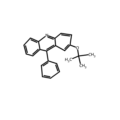 CC(C)(C)Oc1ccc2nc3ccccc3c(-c3ccccc3)c2c1